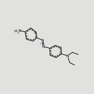 CCN(CC)c1ccc(/N=N/c2ccc(N)cc2)cc1